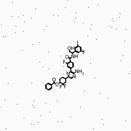 Nc1ncc(C2CCC(OC(=O)c3ccccc3)C(F)(F)C2)nc1-c1ccc(C(=O)NC(CO)c2cc(F)cc(I)c2)c(F)c1